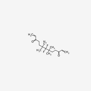 C=CC(=O)CCC(C)(C)C(F)(F)C(C)(C)CCC(=O)C=C